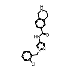 O=C(Nc1cnn(Cc2ccccc2Cl)c1)c1ccc2c(c1)CCNC2